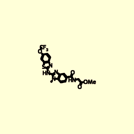 COC(=O)CNC(=O)c1ccc2c(c1)nc(Nc1nc3ccc(OC(F)(F)F)cc3s1)n2C